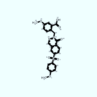 COc1ccc(S(=O)(=O)c2ccc3c(=O)n(Cc4ccc(OC)cc4C(=O)O)ncc3c2)cc1